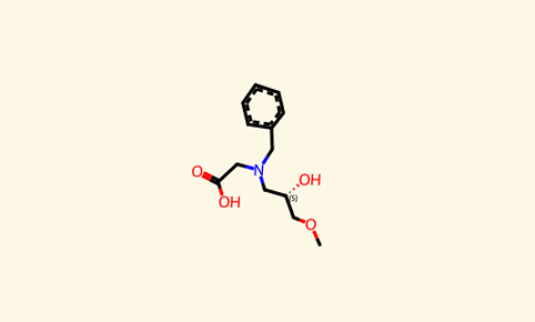 COC[C@@H](O)CN(CC(=O)O)Cc1ccccc1